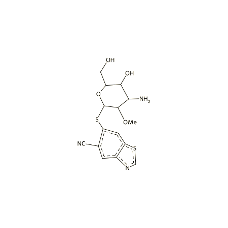 COC1C(Sc2cc3scnc3cc2C#N)OC(CO)C(O)C1N